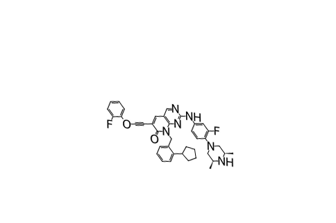 C[C@@H]1CN(c2ccc(Nc3ncc4cc(C#COc5ccccc5F)c(=O)n(Cc5ccccc5C5CCCC5)c4n3)cc2F)C[C@H](C)N1